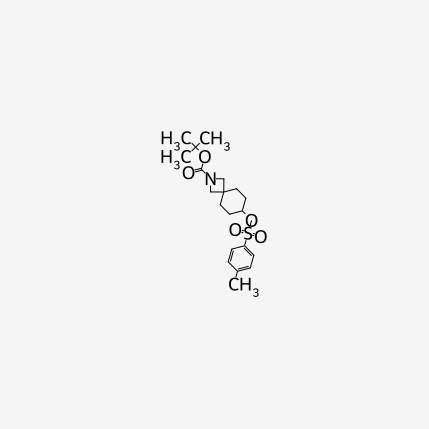 Cc1ccc(S(=O)(=O)OC2CCC3(CC2)CN(C(=O)OC(C)(C)C)C3)cc1